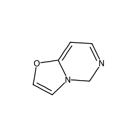 C1=CN2CN=CC=C2O1